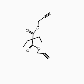 C#CCOC(=O)C(CC)(CC)C(=O)OCC#C